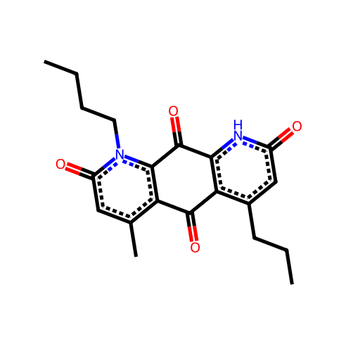 CCCCn1c2c(c(C)cc1=O)C(=O)c1c(CCC)cc(=O)[nH]c1C2=O